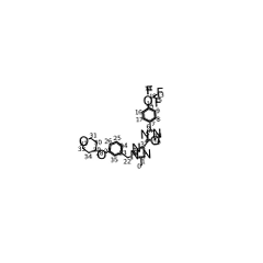 Cc1nc(-c2nc(-c3ccc(OC(F)(F)F)cc3)no2)nn1Cc1cccc(OC2CCOCC2)c1